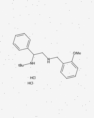 COc1ccccc1CNCC(NC(C)(C)C)c1ccccc1.Cl.Cl